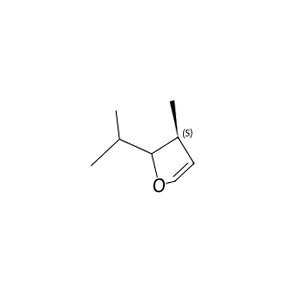 CC(C)C1OC=C[C@@H]1C